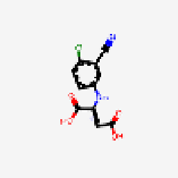 N#Cc1cc(N/C(=C\C(=O)O)C(=O)O)ccc1Cl